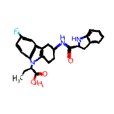 CCC(C(=O)O)n1c2c(c3cc(F)ccc31)CC(NC(=O)C1Cc3ccccc3N1)CC2